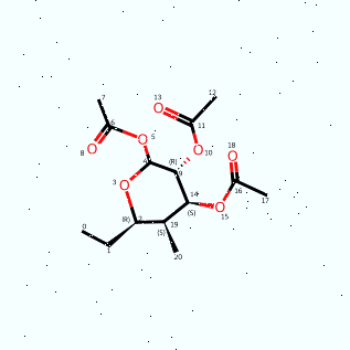 CC[C@H]1OC(OC(C)=O)[C@H](OC(C)=O)[C@@H](OC(C)=O)[C@H]1C